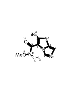 CCC(C)c1sc2cncn2c1C(=O)N(C)OC